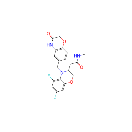 CNC(=O)CC1COc2cc(F)cc(F)c2N1Cc1ccc2c(c1)NC(=O)CO2